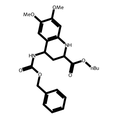 CCCCOC(=O)C1CC(NC(=O)OCc2ccccc2)c2cc(OC)c(OC)cc2N1